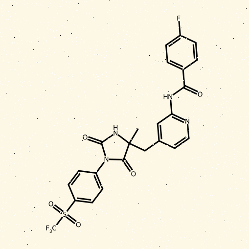 CC1(Cc2ccnc(NC(=O)c3ccc(F)cc3)c2)NC(=O)N(c2ccc(S(=O)(=O)C(F)(F)F)cc2)C1=O